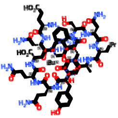 CC[C@H](C)[C@H](NC(=O)[C@H](CC(N)=O)NC(=O)[C@@H](N)CCC(=O)O)C(=O)N[C@@H](Cc1ccc(O)cc1)C(=O)N[C@@H](CO)C(=O)N[C@@H](CC(N)=O)C(=O)N[C@@H](CC(C)C)C(=O)N[C@@H](C)C(=O)N[C@@H](Cc1c[nH]c2ccccc12)C(=O)N[C@@H](Cc1ccc(O)cc1)C(=O)N[C@@H](CCC(N)=O)C(=O)N[C@@H](CCC(N)=O)C(=O)N[C@@H](CCCCN)C(=O)O